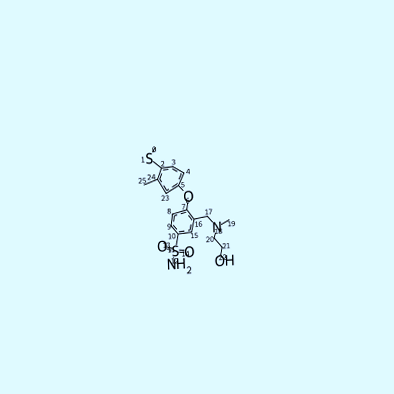 CSc1ccc(Oc2ccc(S(N)(=O)=O)cc2CN(C)CCO)cc1C